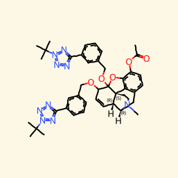 CC(=O)Oc1ccc2c3c1OC1(OCc4cccc(-c5nnn(C(C)(C)C)n5)c4)C(OCc4cccc(-c5nnn(C(C)(C)C)n5)c4)C=C[C@H]4[C@@H](C2)N(C)CC[C@@]341